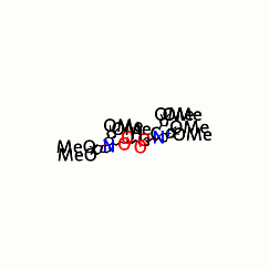 COc1ccc(C[C@@H]2c3cc(OC)c(OC)cc3CCN2CCCOC(=O)/C=C/C(=O)OCCC[N@+]2(C)CCc3cc(OC)c(OC)cc3[C@H]2Cc2ccc(OC)c(OC)c2)cc1OC